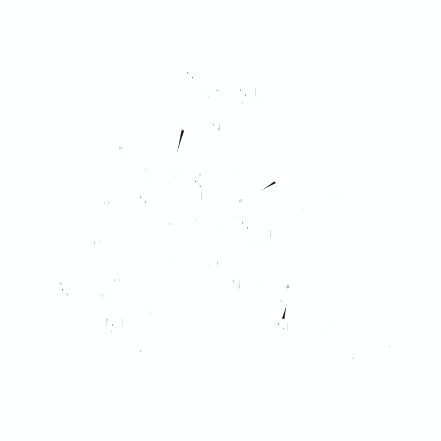 CC(C)C[C@@H](NC(=O)[C@@H](Cc1ccccc1)NC(=O)[C@H](N)Cc1ccccc1)C(=O)N[C@H](CNC(=N)N)C(=O)N1CCCC(C(=N)N)CC1